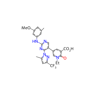 CCn1cc(-c2cnc(Nc3cc(C)cc(OC)c3)nc2-n2nc(C(F)(F)F)cc2C)cc(C(=O)O)c1=O